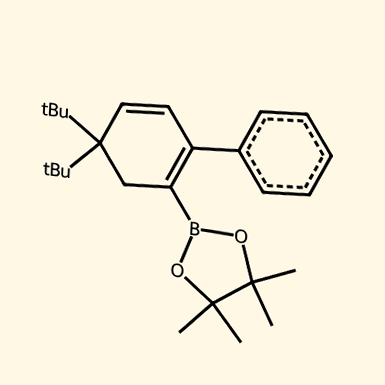 CC(C)(C)C1(C(C)(C)C)C=CC(c2ccccc2)=C(B2OC(C)(C)C(C)(C)O2)C1